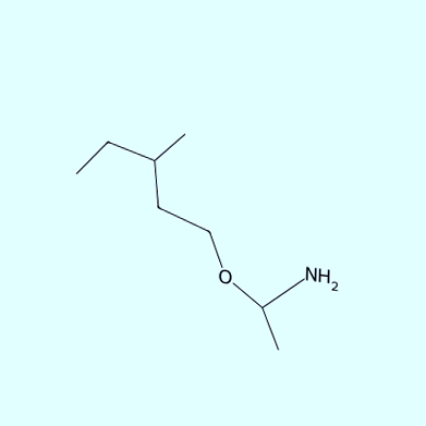 CCC(C)CCOC(C)N